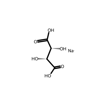 O=C(O)[C@H](O)[C@@H](O)C(=O)O.[Na]